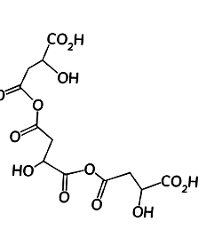 O=C(CC(O)C(=O)O)OC(=O)CC(O)C(=O)OC(=O)CC(O)C(=O)O